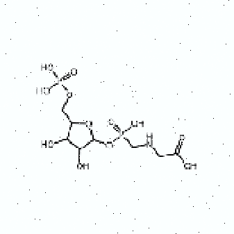 O=C(O)CNCP(=O)(O)OC1OC(COP(=O)(O)O)C(O)C1O